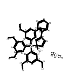 CCc1cc(CC)cc([Si](c2cc(CC)cc(CC)c2)(c2cc(CC)cc(CC)c2)[C]2([Ti+3])C=CC(c3ccccc3)=C2)c1.[Cl-].[Cl-].[Cl-]